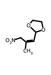 CC(=CC1OCCO1)C[N+](=O)[O-]